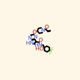 C=CC(=O)N1CCC(Oc2cnc3[nH]cc(C(=O)NCC4(O)CCC(F)(F)CC4)c3n2)CC1